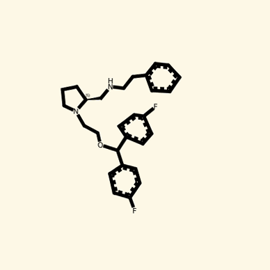 Fc1ccc(C(OCCN2CCC[C@H]2CNCCc2ccccc2)c2ccc(F)cc2)cc1